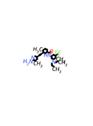 CC/C=C\N(C=C(C)C)c1cc(NC(=O)c2ccc(C)c(C#Cc3cnc(N)c(C)c3)c2)cc(C(F)(F)F)c1